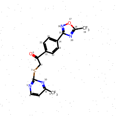 O=C(CSc1nccc(C(F)(F)F)n1)c1ccc(-c2noc(C(F)(F)F)n2)cc1